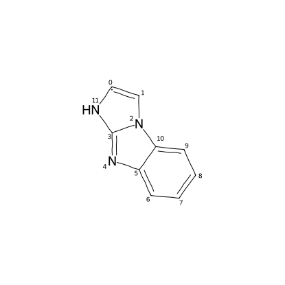 [c]1cn2c(nc3ccccc32)[nH]1